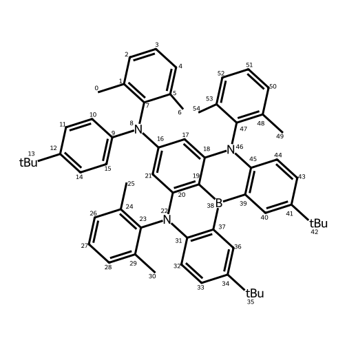 Cc1cccc(C)c1N(c1ccc(C(C)(C)C)cc1)c1cc2c3c(c1)N(c1c(C)cccc1C)c1ccc(C(C)(C)C)cc1B3c1cc(C(C)(C)C)ccc1N2c1c(C)cccc1C